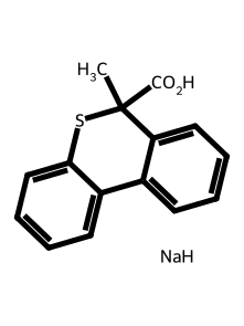 CC1(C(=O)O)Sc2ccccc2-c2ccccc21.[NaH]